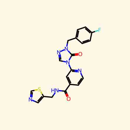 O=C(NCc1cncs1)c1ccnc(-n2cnn(Cc3ccc(F)cc3)c2=O)c1